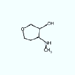 CNC1CCOCC1O